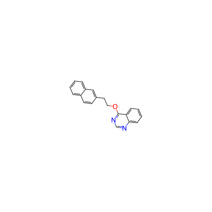 c1ccc2cc(CCOc3ncnc4ccccc34)ccc2c1